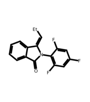 CCC=C1c2ccccc2C(=O)N1c1c(F)cc(F)cc1F